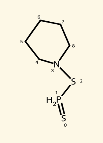 S=[PH2]SN1CCCCC1